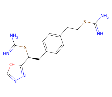 N=C(N)SCCc1ccc(C[C@H](SC(=N)N)c2nnco2)cc1